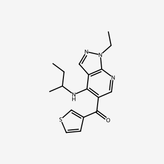 CCC(C)Nc1c(C(=O)c2ccsc2)cnc2c1cnn2CC